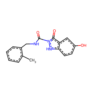 Cc1ccccc1CNC(=O)n1[nH]c2ccc(O)cc2c1=O